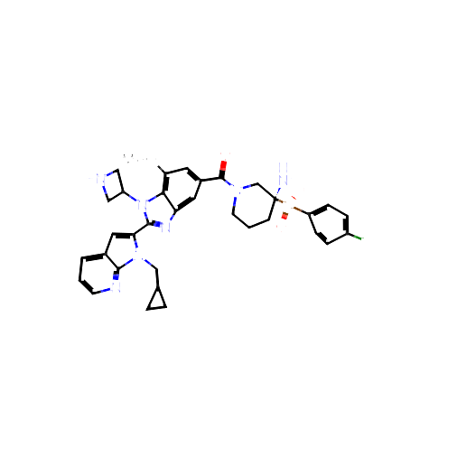 COc1cc(C(=O)N2CCC[C@@](N)(S(=O)(=O)c3ccc(Br)cc3)C2)cc2nc(-c3cc4cccnc4n3CC3CC3)n(C3CNC3)c12